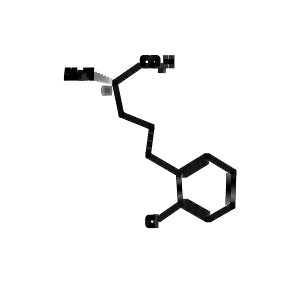 CN[C@@H](CCCc1ccccc1Cl)C(=O)O